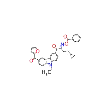 CCn1c2ccc(C(=O)/C(CCC3CC3)=N/OC(=O)c3ccccc3)cc2c2cc(C(=O)c3ccco3)ccc21